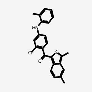 Cc1ccc2c(C(=O)c3ccc(Nc4ccccc4C)cc3Cl)sc(C)c2c1